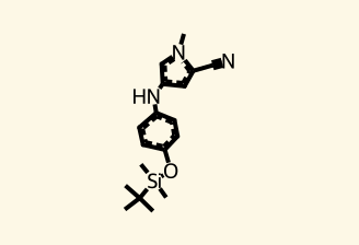 Cn1cc(Nc2ccc(O[Si](C)(C)C(C)(C)C)cc2)cc1C#N